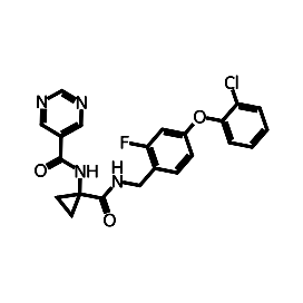 O=C(NC1(C(=O)NCc2ccc(Oc3ccccc3Cl)cc2F)CC1)c1cncnc1